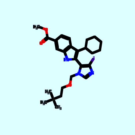 COC(=O)c1ccc2c(C3CCCCC3)c(-c3c(I)ncn3COCC[Si](C)(C)C)[nH]c2c1